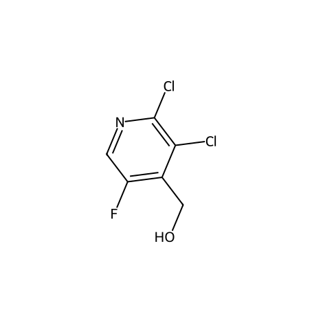 OCc1c(F)cnc(Cl)c1Cl